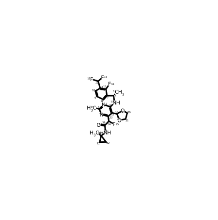 Cc1nc(N[C@H](C)c2cccc(C(F)F)c2F)c(C2OCCO2)c(C(F)C(=O)NC2(C)CC2)n1